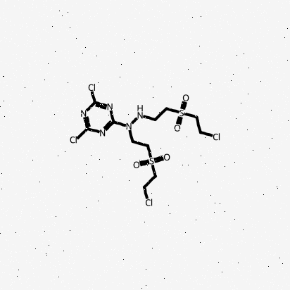 O=S(=O)(CCCl)CCNN(CCS(=O)(=O)CCCl)c1nc(Cl)nc(Cl)n1